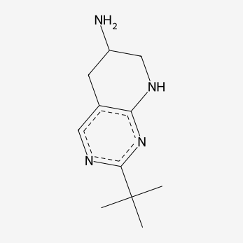 CC(C)(C)c1ncc2c(n1)NCC(N)C2